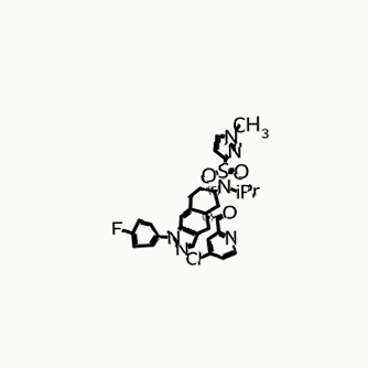 CC(C)N([C@H]1CCC2=Cc3c(cnn3-c3ccc(F)cc3)C[C@]2(C(=O)c2cc(Cl)ccn2)C1)S(=O)(=O)c1ccn(C)n1